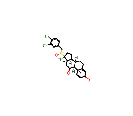 C[C@]12C=CC(=O)C=C1CC[C@@H]1[C@@H]2C(=O)C[C@@]2(C)[C@H]1CC[C@]2(Cl)[S@+]([O-])Cc1ccc(Cl)c(Cl)c1